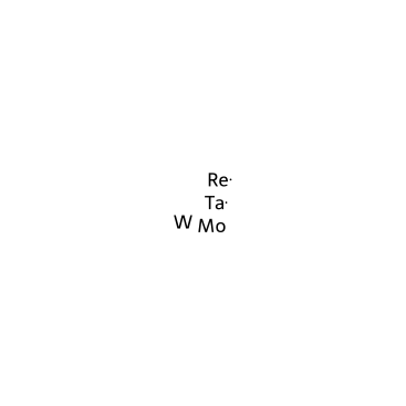 [Mo].[Re].[Ta].[W]